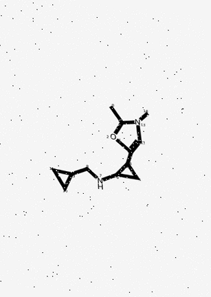 CC1OC(C2CC2NCC2CC2)=CN1C